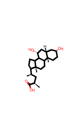 C[C@H](C[C@@H](C)C1CCC2C3C(CC[C@@]21C)[C@@]1(C)CC[C@@H](O)C[C@H]1C[C@H]3O)C(=O)O